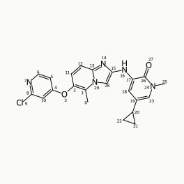 Cc1c(Oc2ccnc(Cl)c2)ccc2nc(Nc3cc(C4CC4)cn(C)c3=O)cn12